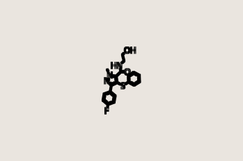 Cn1nc(-c2ccc(F)cc2)c(Sc2ccccc2)c1C(=O)NCCO